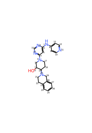 OC1CN(c2cc(Nc3ccncc3)ncn2)CCC1N1CCc2ccccc2C1